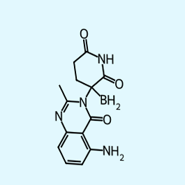 BC1(n2c(C)nc3cccc(N)c3c2=O)CCC(=O)NC1=O